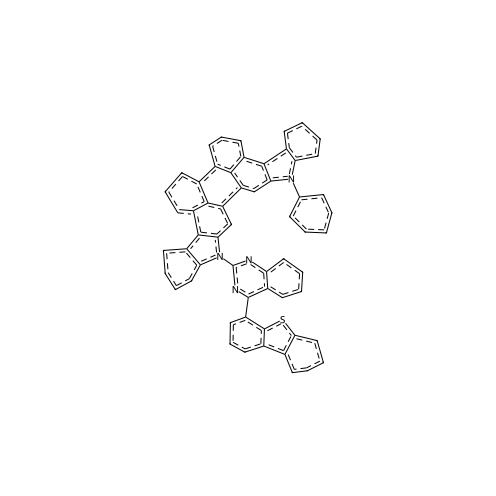 c1ccc(-n2c3ccccc3c3c4cccc5c6cccc7c6c(cc6c7c7ccccc7n6-c6nc(-c7cccc8c7sc7ccccc78)c7ccccc7n6)c(cc32)c54)cc1